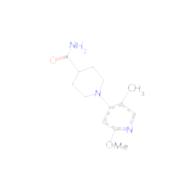 COc1cc(N2CCC(C(N)=O)CC2)c(C)cn1